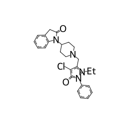 CCn1c(CN2CCC(N3C(=O)Cc4ccccc43)CC2)c(Cl)c(=O)n1-c1ccccc1